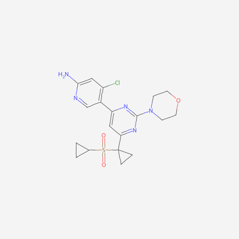 Nc1cc(Cl)c(-c2cc(C3(S(=O)(=O)C4CC4)CC3)nc(N3CCOCC3)n2)cn1